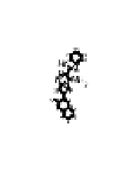 Cc1cc2ccccc2cc1-c1cc2nnc(-c3nc4ccccc4[nH]3)c(N)n2n1